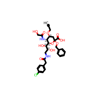 C#CCO[C@H]1C[C@](OCc2ccccc2)(C(=O)O)O[C@@H]([C@H](O)[C@H](O)CNC(=O)Cc2ccc(Cl)cc2)[C@@H]1NC(=O)CO